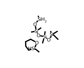 C[SiH2]O[Si](C)(C)O[Si](C)(C)O[Si](C)(C)C.C[SiH]1CCCCO1